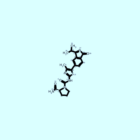 Cc1nc(NC(=O)N2CCC[C@H]2C(N)=O)sc1-c1ccc2c(c1)C(C(C)C)=NC2=O